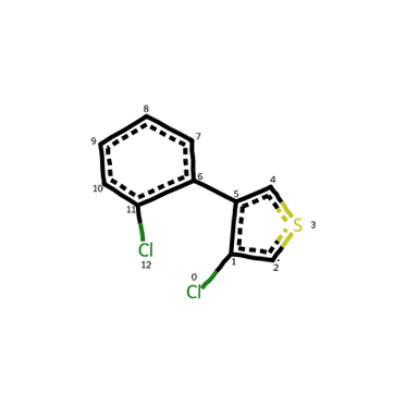 Clc1[c]scc1-c1ccccc1Cl